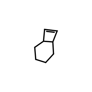 C1=CC2CCCCC12